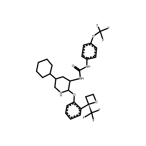 O=C(Nc1ccc(OC(F)(F)F)cc1)NC1CC(C2CCCCC2)CNC1Oc1ccccc1[C@]1(C(F)(F)F)CCO1